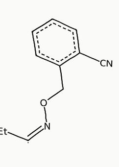 CC/[C]=N\OCc1ccccc1C#N